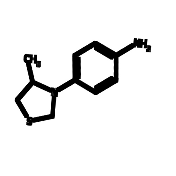 CC1CSCN1c1ccc(N)cc1